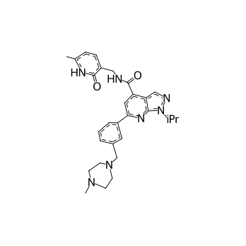 Cc1ccc(CNC(=O)c2cc(-c3cccc(CN4CCN(C)CC4)c3)nc3c2cnn3C(C)C)c(=O)[nH]1